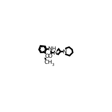 CCOc1ccccc1NC(=O)N1CC(N2CCCCCC2)C1